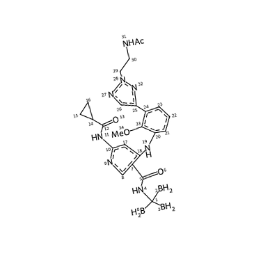 BC(B)(B)NC(=O)c1cnc(NC(=O)C2CC2)cc1Nc1cccc(-c2cnn(CCNC(C)=O)n2)c1OC